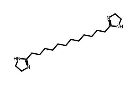 C(CCCCCCC1=NCCN1)CCCCCC1=NCCN1